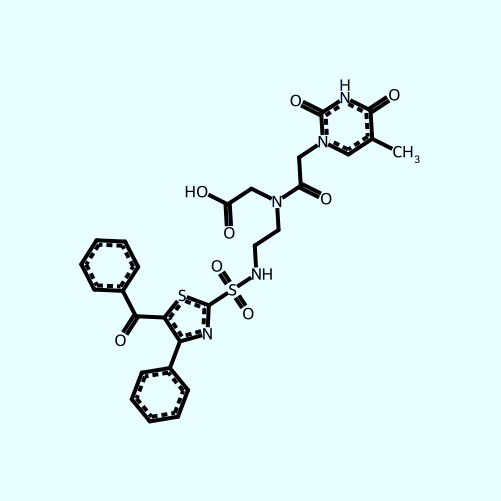 Cc1cn(CC(=O)N(CCNS(=O)(=O)c2nc(-c3ccccc3)c(C(=O)c3ccccc3)s2)CC(=O)O)c(=O)[nH]c1=O